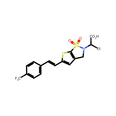 CCC(C(=O)O)N1Cc2cc(/C=C/c3ccc(C(F)(F)F)cc3)sc2S1(=O)=O